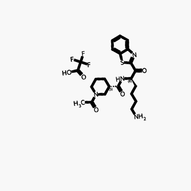 CC(=O)N1CCC[C@H](C(=O)N[C@H](CCCCN)C(=O)c2nc3ccccc3s2)C1.O=C(O)C(F)(F)F